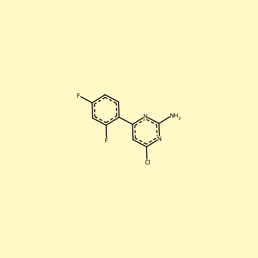 Nc1nc(Cl)cc(-c2ccc(F)cc2F)n1